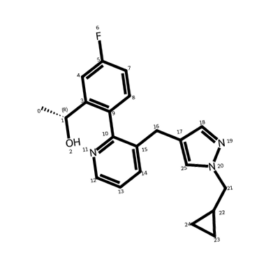 C[C@@H](O)c1cc(F)ccc1-c1ncccc1Cc1cnn(CC2CC2)c1